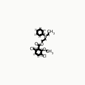 CCN(CCOC(=O)c1c(Cl)ccc(Cl)c1OC)c1ccccc1